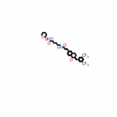 O=C(/C=C/c1ccc2c(c1)CC/C(=C\c1cc(C(F)(F)F)cc(C(F)(F)F)c1)C2=O)NCCCCCC(=O)NOC1CCCCO1